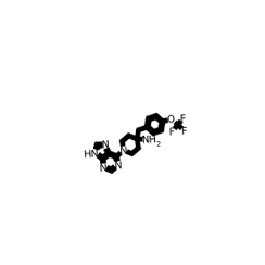 NC1(Cc2ccc(OC(F)(F)F)cc2)CCN(c2ncnc3[nH]cnc23)CC1